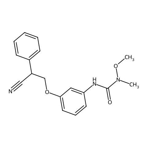 CON(C)C(=O)Nc1cccc(OCC(C#N)c2ccccc2)c1